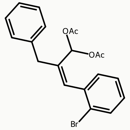 CC(=O)OC(OC(C)=O)C(=Cc1ccccc1Br)Cc1ccccc1